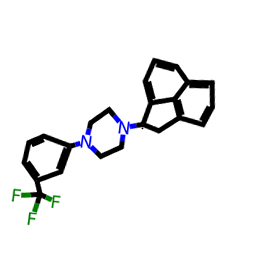 FC(F)(F)c1cccc(N2CCN([C]3Cc4cccc5cccc3c45)CC2)c1